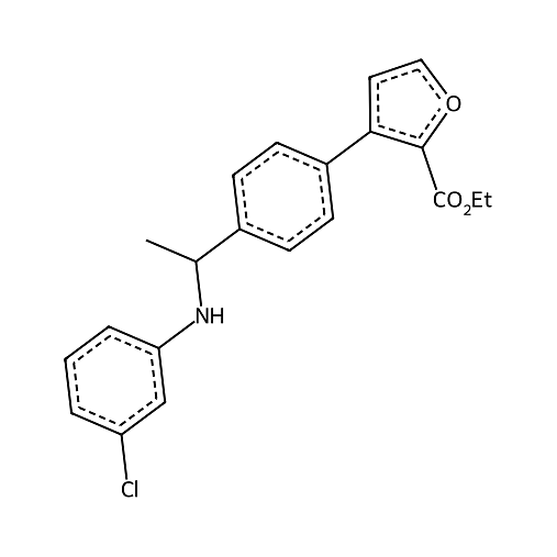 CCOC(=O)c1occc1-c1ccc(C(C)Nc2cccc(Cl)c2)cc1